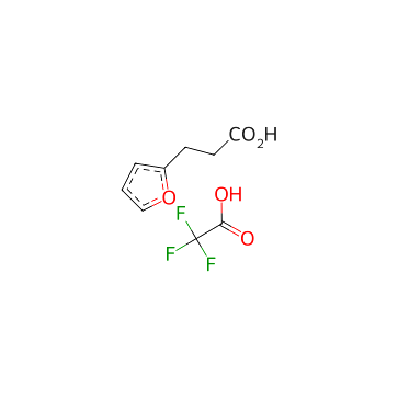 O=C(O)C(F)(F)F.O=C(O)CCc1ccco1